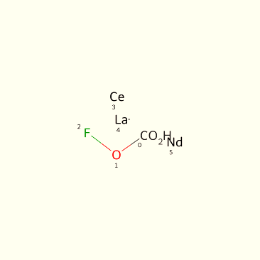 O=C(O)OF.[Ce].[La].[Nd]